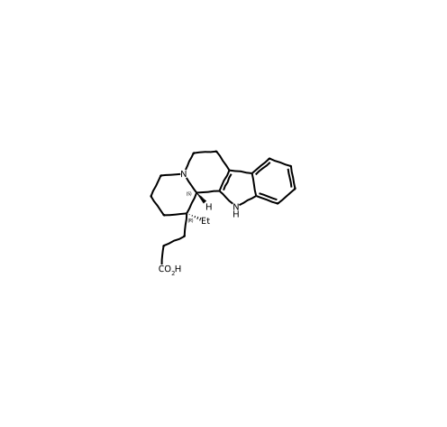 CC[C@]1(CCC(=O)O)CCCN2CCc3c([nH]c4ccccc34)[C@@H]21